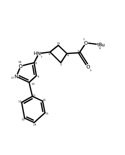 CC(C)(C)OC(=O)C1CC(Nc2cc(-c3ccccc3)no2)C1